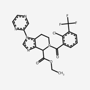 CCOC(=O)C1c2ncn(-c3cnccn3)c2CCN1C(=O)c1cccc(C(F)(F)F)c1Cl